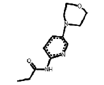 CCC(=O)Nc1ccc(N2CCOCC2)cn1